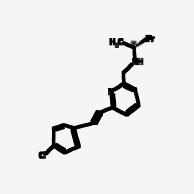 CC(C)[C@@H](C)NCc1cccc(C#Cc2ccc(Cl)cc2)n1